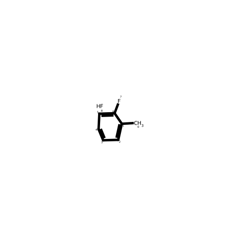 Cc1ccccc1F.F